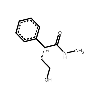 NNC(=O)[C@H](CCO)c1ccccc1